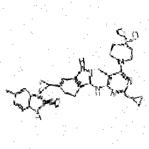 Cc1ccc2c(c1)[C@]1(C[C@H]1c1ccc3c(Nc4nc(C5CC5)nc(N5CCS(=O)(=O)CC5)c4C)n[nH]c3c1)C(=O)N2